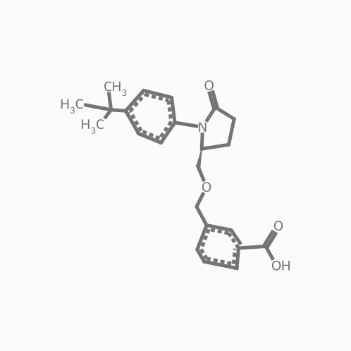 CC(C)(C)c1ccc(N2C(=O)CC[C@H]2COCc2cccc(C(=O)O)c2)cc1